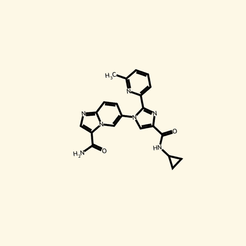 Cc1cccc(-c2nc(C(=O)NC3CC3)cn2-c2ccc3ncc(C(N)=O)n3c2)n1